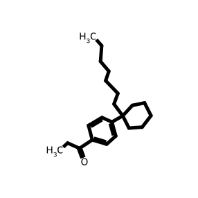 CCCCCCCC1(c2ccc(C(=O)CC)cc2)CCCCC1